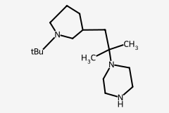 CC(C)(C)N1CCCC(CC(C)(C)N2CCNCC2)C1